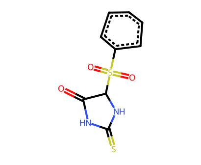 O=C1NC(=S)NC1S(=O)(=O)c1ccccc1